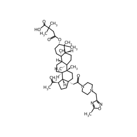 C=C(C)[C@@H]1CC[C@]2(CC(=O)N3CCN(Cc4noc(C)n4)CC3)CC[C@]3(C)[C@H](CC[C@@H]4[C@@]5(C)CC[C@H](OC(=O)CC(C)(C)C(=O)O)C(C)(C)[C@@H]5CC[C@]43C)[C@@H]12